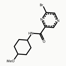 COC1CCC(NC(=O)c2cncc(Br)n2)CC1